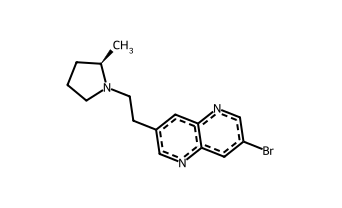 C[C@@H]1CCCN1CCc1cnc2cc(Br)cnc2c1